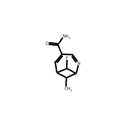 CC1C2C=C(C(N)=O)C=NC1C2F